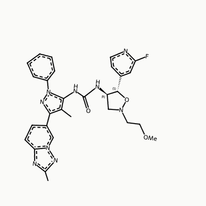 COCCN1C[C@@H](NC(=O)Nc2c(C)c(-c3ccc4nc(C)nn4c3)nn2-c2ccccc2)[C@H](c2ccnc(F)c2)O1